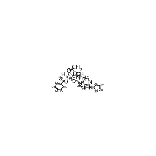 CC(=O)OC1(C)[C@@H](COC(=O)c2ccccc2)OC(n2cnc3c(NC4CCCC4)ncnc32)[C@]1(C)F